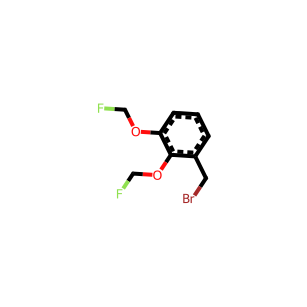 FCOc1cccc(CBr)c1OCF